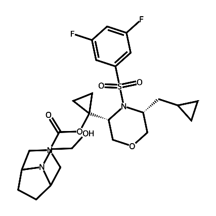 O=C(OC1([C@H]2COC[C@@H](CC3CC3)N2S(=O)(=O)c2cc(F)cc(F)c2)CC1)N1CC2CCC(C1)N2CCO